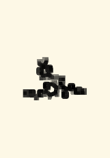 CC(C)(C)OC(=O)N[C@@H]1CC[C@@H](C(=O)O)O[C@@H]1CC1COC(C)(C)O1